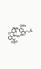 COc1cc(N(C)CCN(C)C)c(NC(C)C)cc1Nc1ncc(Cl)c(Nc2ccccc2N(C)S(C)(=O)=O)n1